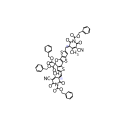 CC1=C(C#N)C(=O)N(C(=O)OCc2ccccc2)C(=O)/C1=C/c1cc2c(s1)-c1sc3cc(/C=C4/C(=O)N(C(=O)OCc5ccccc5)C(=O)C(C#N)=C4C)sc3c1OC2(C(=O)OCc1ccccc1)C(=O)OCc1ccccc1